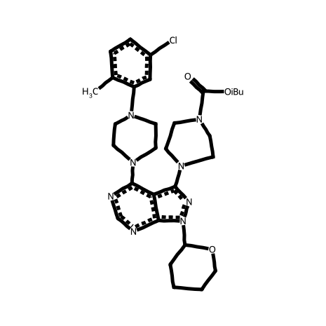 Cc1ccc(Cl)cc1N1CCN(c2ncnc3c2c(N2CCN(C(=O)OCC(C)C)CC2)nn3C2CCCCO2)CC1